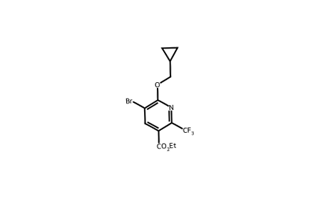 CCOC(=O)c1cc(Br)c(OCC2CC2)nc1C(F)(F)F